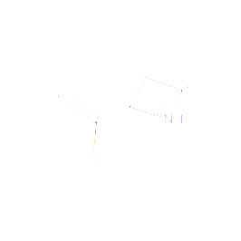 O=C(S)[C@@H]1CCN1